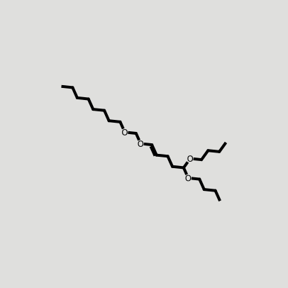 CCCCCCCCOCOC=CCCC(OCCCC)OCCCC